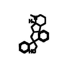 CN1CCCC2C[C@@H](CC(CO)(c3ccccc3)c3ccccc3)C[C@@H]21